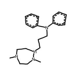 CN1CC[N](C)[In]([CH2]CCN(c2ccccc2)c2ccccc2)[CH2]C1